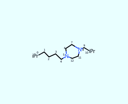 CC(C)CCCCN1CCN(CC(C)C)CC1